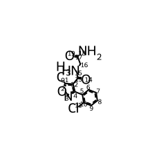 Cc1onc(-c2ccccc2Cl)c1C(=O)NCC(N)=O